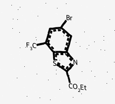 CCOC(=O)c1nc2cc(Br)cc(C(F)(F)F)c2s1